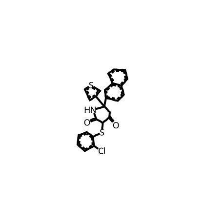 O=C1CC(c2ccsc2)(c2ccc3ccccc3c2)NC(=O)C1Sc1ccccc1Cl